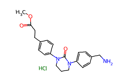 COC(=O)CCc1ccc(N2CCCN(c3ccc(CN)cc3)C2=O)cc1.Cl